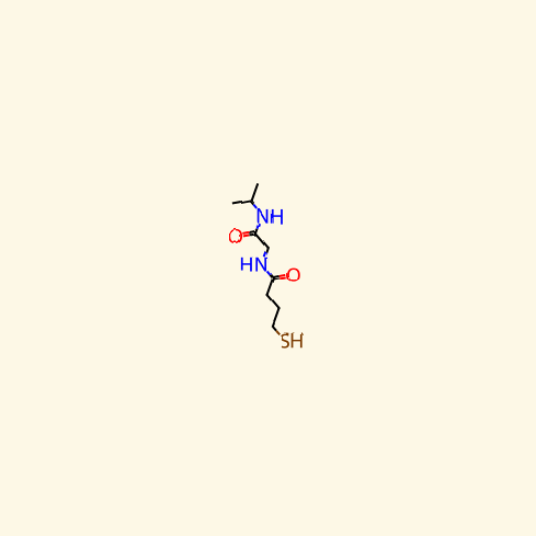 CC(C)NC(=O)CNC(=O)CCCS